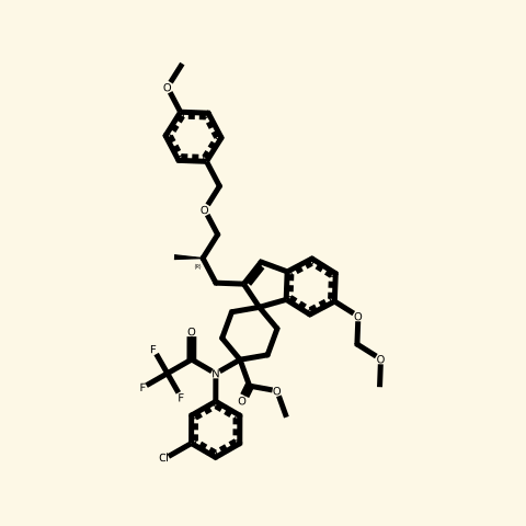 COCOc1ccc2c(c1)C1(CCC(C(=O)OC)(N(C(=O)C(F)(F)F)c3cccc(Cl)c3)CC1)C(C[C@@H](C)COCc1ccc(OC)cc1)=C2